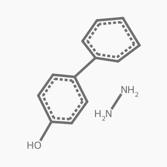 NN.Oc1ccc(-c2ccccc2)cc1